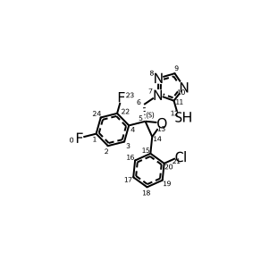 Fc1ccc([C@@]2(Cn3ncnc3S)OC2c2ccccc2Cl)c(F)c1